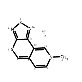 CN1C=CC2=CSc3nsnc3C2=C1.I